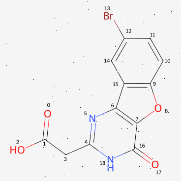 O=C(O)Cc1nc2c(oc3ccc(Br)cc32)c(=O)[nH]1